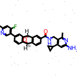 Cc1cc(F)c(-c2ccc3c(c2)[C@H]2O[C@@H]3c3ccc(C(=O)NCc4c(C5CC5)cc(N)nc4C)cc32)cn1